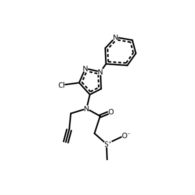 C#CCN(C(=O)C[S+](C)[O-])c1cn(-c2cccnc2)nc1Cl